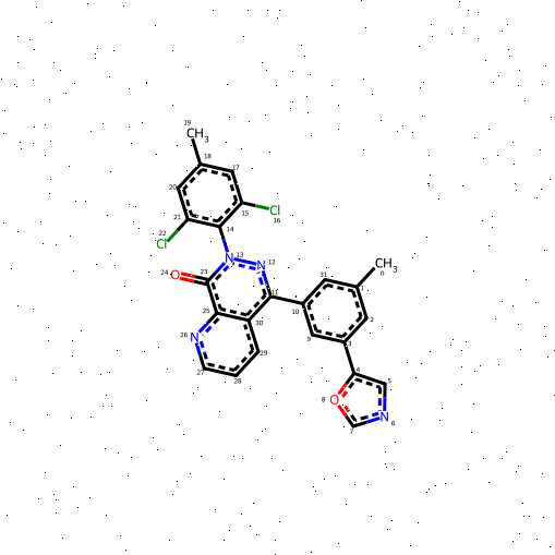 Cc1cc(-c2cnco2)cc(-c2nn(-c3c(Cl)cc(C)cc3Cl)c(=O)c3ncccc23)c1